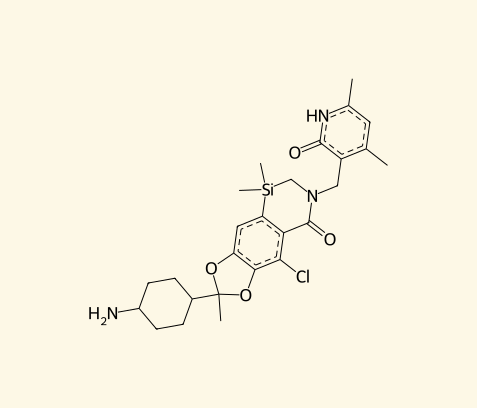 Cc1cc(C)c(CN2C[Si](C)(C)c3cc4c(c(Cl)c3C2=O)OC(C)(C2CCC(N)CC2)O4)c(=O)[nH]1